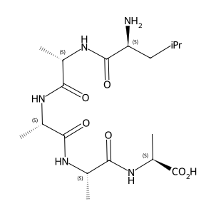 CC(C)C[C@H](N)C(=O)N[C@@H](C)C(=O)N[C@@H](C)C(=O)N[C@@H](C)C(=O)N[C@@H](C)C(=O)O